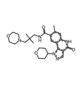 Cc1cc2[nH]c(=O)c3cnn(C4CCOCC4)c3c2cc1C(=O)NCC(C)(C)CN1CCOCC1